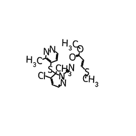 COC(=O)C=CSC.Cc1nnccc1SC1(C)C(Cl)=CC=NN1C#N